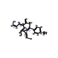 C=C(S/C(=C1\C\C1=C\C)c1ccc(S)cc1)/C(C=CC)=C/C=C\C